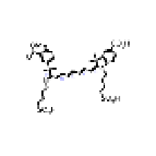 COC(=O)c1cccc(C(C)(C)C(/C=C/C=C/C=C/C=C2/N(CCCCS(=O)(=O)O)c3ccc(C(=O)O)cc3C2(C)C)=N/CCCCS(=O)(=O)O)c1